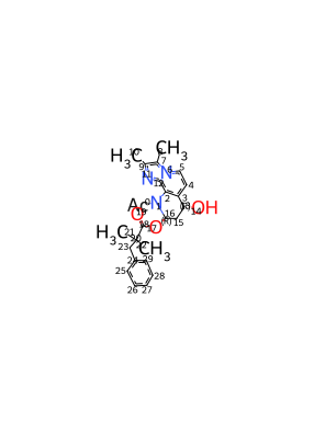 CC(=O)N1c2c(ccn3c(C)c(C)nc23)[C@H](O)C[C@H]1OC(=O)C(C)(C)Cc1ccccc1